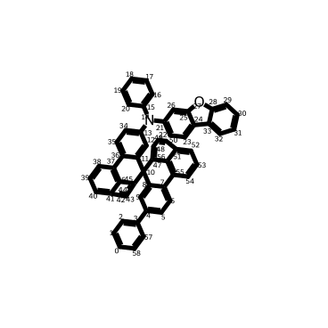 c1ccc(-c2ccc3c(c2)C2(c4cc(N(c5ccccc5)c5ccc6c(c5)oc5ccccc56)ccc4-c4cccc5cccc2c45)c2cccc4cccc-3c24)cc1